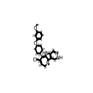 COc1cccc(O[C@H]2CC[C@H](C3=c4[nH]c5c(c4=NCC=C3Cl)CNN=C5)CC2)c1